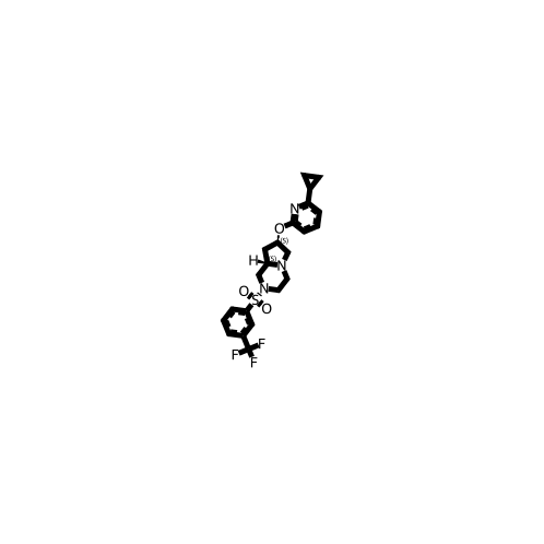 O=S(=O)(c1cccc(C(F)(F)F)c1)N1CCN2C[C@@H](Oc3cccc(C4CC4)n3)C[C@H]2C1